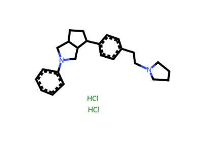 Cl.Cl.c1ccc(N2CC3CCC(c4ccc(CCN5CCCC5)cc4)C3C2)cc1